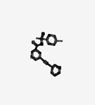 Cc1ccc(S(C)(=O)=NC(=O)c2cncc(C#Cc3cccnc3)c2)cc1